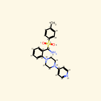 Cc1ccc(S(=O)(=O)C(N)c2ccccc2N2CCN(c3ccncc3)CC2)cc1